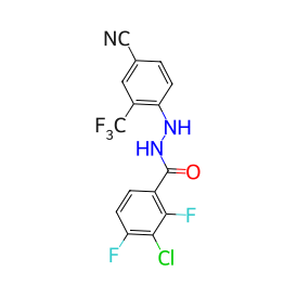 N#Cc1ccc(NNC(=O)c2ccc(F)c(Cl)c2F)c(C(F)(F)F)c1